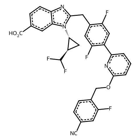 N#Cc1ccc(COc2cccc(-c3cc(F)c(Cc4nc5ccc(C(=O)O)cc5n4[C@@H]4C[C@H]4C(F)F)cc3F)n2)c(F)c1